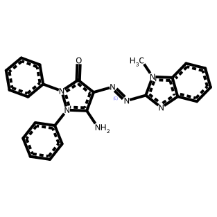 Cn1c(/N=N/c2c(N)n(-c3ccccc3)n(-c3ccccc3)c2=O)nc2ccccc21